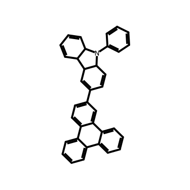 C1=CC2C3C=C(c4ccc5c6ccccc6c6ccccc6c5c4)C=CC3N(c3ccccc3)C2C=C1